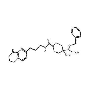 CCOC(=O)C(OCc1ccccc1)C1(O)CCN(C(=O)NCCCc2ccc3c(n2)NCCC3)CC1